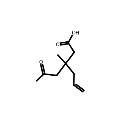 C=CCC(C)(CC(C)=O)CC(=O)O